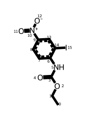 CCOC(=O)Nc1ccc([N+](=O)[O-])cc1I